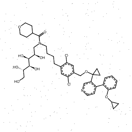 O=C(C1CCOCC1)N(CCCCc1cc(Cl)c(COC2(c3cnccc3-c3ccccc3OC3CC3)CC2)cc1Cl)C[C@@H](O)[C@H](O)[C@@H](O)[C@@H](O)CO